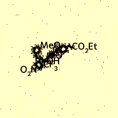 CCOC(=O)CCc1ccc(S(=O)(=O)C2CN(CC(O)(c3cn(Cc4ccccc4)c4cc([N+](=O)[O-])ccc34)C(F)(F)F)C2)c(OC)c1